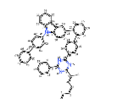 C=C/C=C\C=C(/C)c1nc(-c2ccccc2)nc(-c2ccc(-c3ccccc3-c3ccc4c(c3)c3ccccc3n4-c3ccc(-c4ccccc4)cc3)cc2)n1